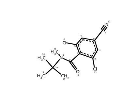 CN(C(=O)c1c(Cl)cc(C#N)cc1Cl)C(C)(C)C